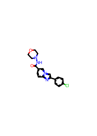 O=C(NN1CCOCC1)c1ccc2nc(-c3ccc(Cl)cc3)cn2c1